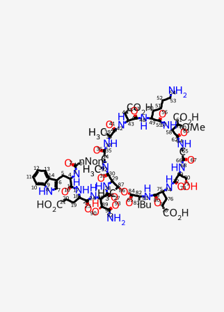 CCCCCCCCCC(=O)NC(Cc1c[nH]c2ccccc12)C(=O)NC(CCC(=O)O)C(=O)NC(C(=O)NC1C(=O)N(C)CC(=O)NC(C)C(=O)NC(CC(=O)O)C(=O)NC(CCCCN)C(=O)NC(C(OC)C(=O)O)C(=O)NCC(=O)NC(CO)C(=O)NC(CCC(=O)O)C(=O)NC(C(C)CC)C(=O)OC1C)C(O)C(N)=O